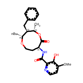 CCCC[C@H]1OCC[C@H](NC(=O)c2nccc(OC)c2O)C(=O)O[C@@H](C)[C@@H]1Cc1ccccc1